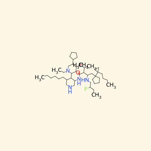 CCCCCCC1CNCC(NC(=O)C(C(C)C)C(CC2(C3(CCCC)CC3)CCCC2)NCC(F)CC)C1C1CC(C)C(C2CCCC2)CN1CC